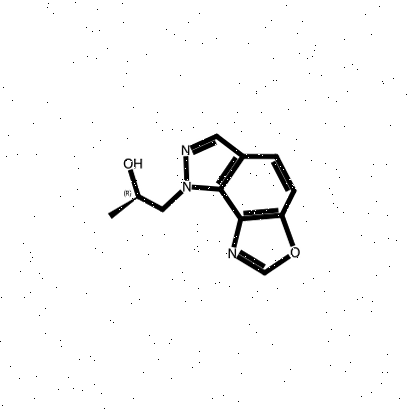 C[C@@H](O)Cn1ncc2ccc3ocnc3c21